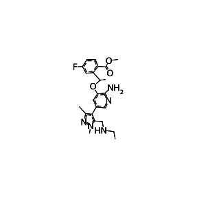 CCNCc1c(-c2cnc(N)c(OC(C)c3cc(F)ccc3C(=O)OC)c2)c(C)nn1C